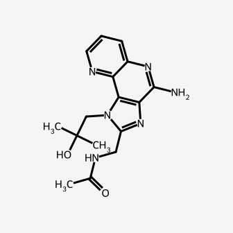 CC(=O)NCc1nc2c(N)nc3cccnc3c2n1CC(C)(C)O